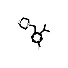 CC(C)c1cc(F)ccc1CN1CCOCC1